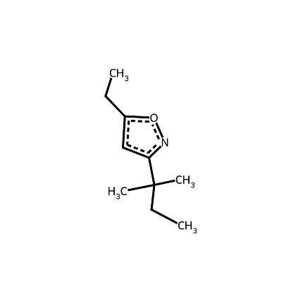 CCc1cc(C(C)(C)CC)no1